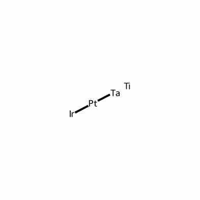 [Ta][Pt][Ir].[Ti]